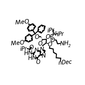 CCCCCCCCCCCCCCCCO[C@@H]1C(OP(OCCN)N(C(C)C)C(C)C)[C@@H](COC(c2ccccc2)(c2ccc(OC)cc2)c2ccc(OC)cc2)O[C@H]1n1cnc2c(=O)[nH]c(NC(=O)C(C)C)nc21